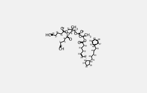 C#CCCCC(=O)OCC(C)(COC(=O)CCCC#C)COC(=O)OC(C)OC(=O)CCC/C=C\C[C@H]1CCC[C@@H]1CCCCCc1ccccc1